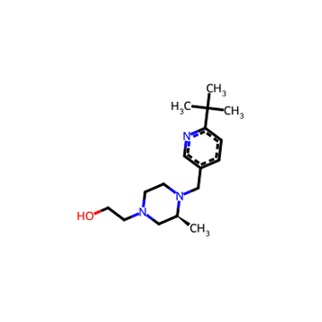 C[C@H]1CN(CCO)CCN1Cc1ccc(C(C)(C)C)nc1